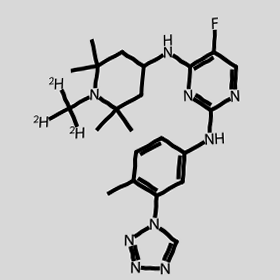 [2H]C([2H])([2H])N1C(C)(C)CC(Nc2nc(Nc3ccc(C)c(-n4cnnn4)c3)ncc2F)CC1(C)C